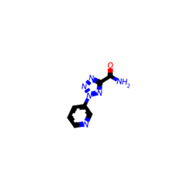 NC(=O)c1nnn(-c2cccnc2)n1